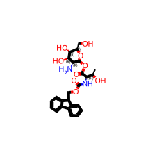 C[C@@H](O)[C@H](NC(=O)OCC1c2ccccc2-c2ccccc21)C(=O)OC1O[C@H](CO)[C@H](O)[C@H](O)[C@H]1N